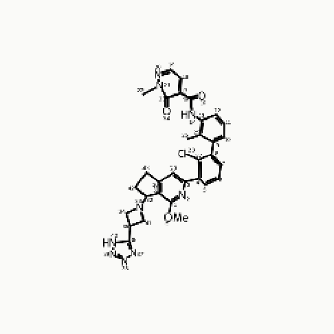 COc1nc(-c2cccc(-c3cccc(NC(=O)c4ccnn(C)c4=O)c3C)c2Cl)cc2c1C(N1CC(c3nnn[nH]3)C1)CC2